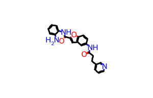 Nc1ccccc1NC(=O)c1cc2cc(NC(=O)CCc3cccnc3)ccc2o1